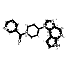 O=C(c1cccnc1)N1CCC(n2cnc3cnc4[nH]ccc4c32)CC1